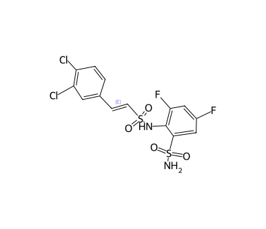 NS(=O)(=O)c1cc(F)cc(F)c1NS(=O)(=O)/C=C/c1ccc(Cl)c(Cl)c1